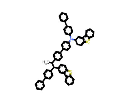 CC(c1ccc(-c2ccc(N(c3ccc(-c4ccccc4)cc3)C3C=c4c(sc5ccccc45)=CC3)cc2)cc1)C(c1ccc(-c2ccccc2)cc1)c1ccc2sc3ccccc3c2c1